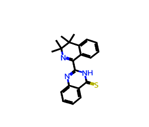 CC1(C)N=C(c2nc3ccccc3c(=S)[nH]2)c2ccccc2C1(C)C